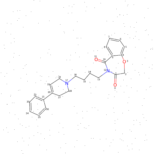 O=C1COc2ccccc2C(=O)N1CCCCN1CC=C(c2ccccc2)CC1